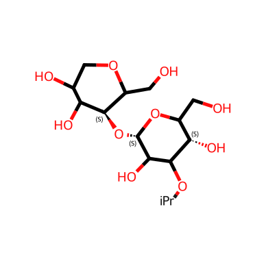 CC(C)OC1C(O)[C@H](O[C@@H]2C(CO)OCC(O)C2O)OC(CO)[C@@H]1O